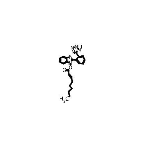 CCCCCCC#CC(=O)On1c(-c2ccccc2-c2nn[nH]n2)nc2ccccc21